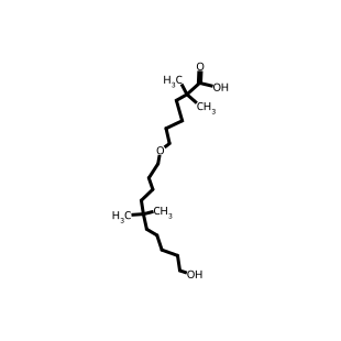 CC(C)(CCCCCO)CCCCOCCCCC(C)(C)C(=O)O